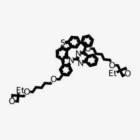 CCC1(COCCCCCOCc2ccc3sc4ccc5c6cc(COCCCCCOCC7(CC)COC7)ccc6n(-c6nc(-c7ccccc7)c7ccccc7n6)c5c4c3c2)COC1